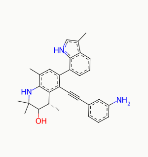 Cc1cc(-c2cccc3c(C)c[nH]c23)c(C#Cc2cccc(N)c2)c2c1NC(C)(C)C(O)[C@H]2C